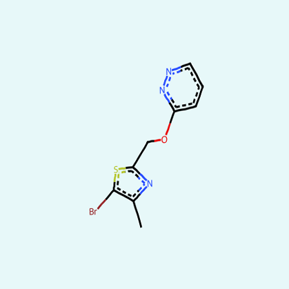 Cc1nc(COc2cccnn2)sc1Br